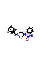 O=c1[nH]c2ccccc2n1C1CCN(CC23CC4CC(CC2C4)C3)CC1